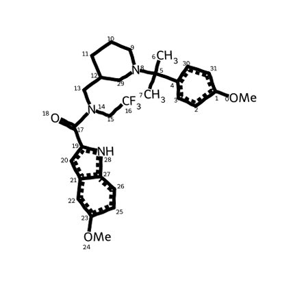 COc1ccc(C(C)(C)N2CCCC(CN(CC(F)(F)F)C(=O)c3cc4cc(OC)ccc4[nH]3)C2)cc1